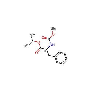 CCCC(CCC)OC(=O)[C@H](Cc1ccccc1)NC(=O)OC(C)(C)C